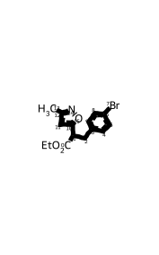 CCOC(=O)C(Cc1ccc(Br)cc1)c1cc(C)no1